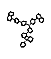 C1=Cc2c(c3ccccc3n2-c2ccccc2)C(c2cccc(N(c3ccc(-c4ccc(-c5cccc6ccccc56)cc4)cc3)C3C=CC(c4cccc5ccccc45)=CC3)c2)C1